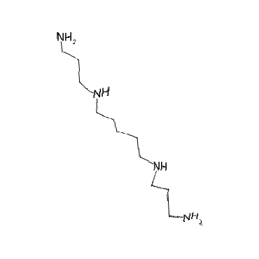 NCCCNCCCCCNCCCN